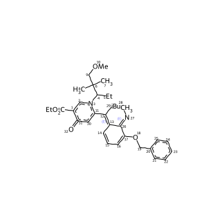 CCOC(=O)c1cn(C(CC)C(C)(C)COC)c(/C(=C2\C=CC=C(OCc3ccccc3)\C2=N\C)C(C)CC)cc1=O